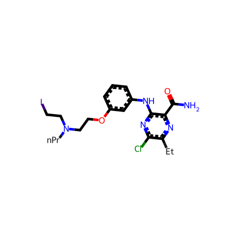 CCCN(CCI)CCOc1cccc(Nc2nc(Cl)c(CC)nc2C(N)=O)c1